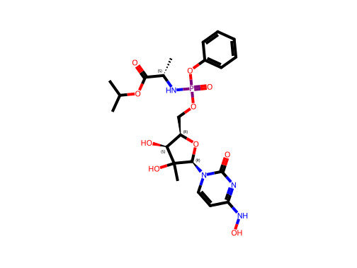 CC(C)OC(=O)[C@H](C)NP(=O)(OC[C@H]1O[C@@H](n2ccc(NO)nc2=O)C(C)(O)[C@H]1O)Oc1ccccc1